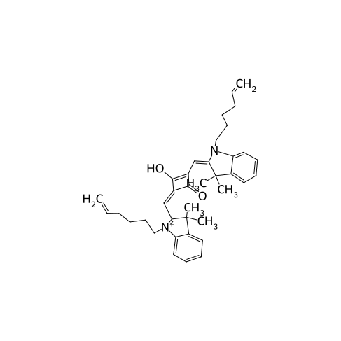 C=CCCCCN1/C(=C/C2=C(O)C(=C/C3=[N+](CCCCC=C)c4ccccc4C3(C)C)/C2=O)C(C)(C)c2ccccc21